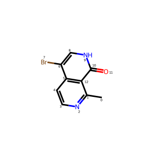 Cc1nccc2c(Br)c[nH]c(=O)c12